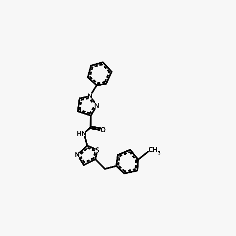 Cc1ccc(Cc2cnc(NC(=O)c3ccn(-c4ccccc4)n3)s2)cc1